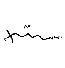 CCCCCCCCCCCCCC(C)(C)[S-].[Au+]